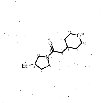 CC[C@H]1CCN(C(=O)CC2CCOCC2)C1